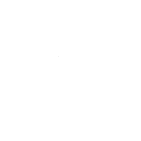 COC(C)OC1CCC2CCCCC2C1